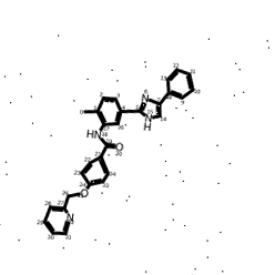 Cc1ccc(-c2nc(-c3ccccc3)c[nH]2)cc1NC(=O)c1ccc(OCc2ccccn2)cc1